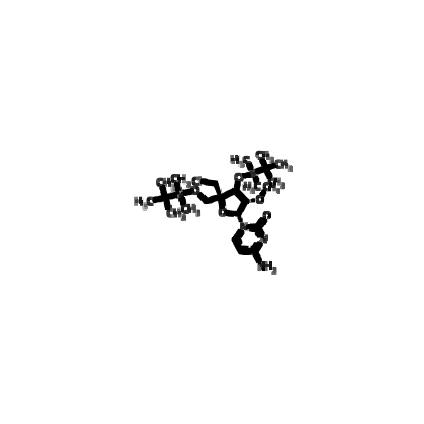 CO[C@H]1C(O[Si](C)(C)C(C)(C)C)[C@@](CCl)(CO[Si](C)(C)C(C)(C)C)O[C@H]1n1ccc(N)nc1=O